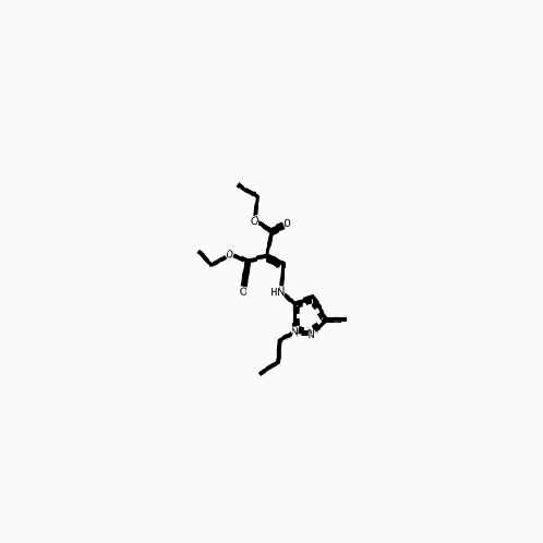 CCCn1nc(C)cc1NC=C(C(=O)OCC)C(=O)OCC